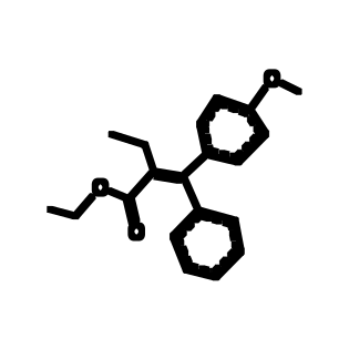 CCOC(=O)C(CC)=C(c1ccccc1)c1ccc(OC)cc1